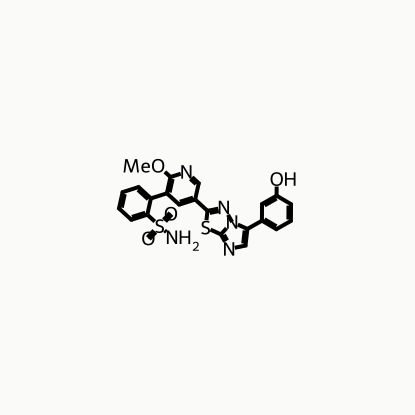 COc1ncc(-c2nn3c(-c4cccc(O)c4)cnc3s2)cc1-c1ccccc1S(N)(=O)=O